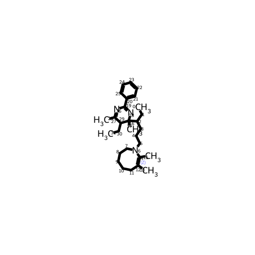 CCC(CCCN1CCCCC/C(C)=C\1C)C1(C)N=C(c2ccccc2)N=C(C)C1CC